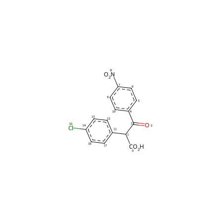 O=C(O)C(C(=O)c1ccc([N+](=O)[O-])cc1)c1ccc(Cl)cc1